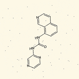 O=C(Nc1cnccn1)Nc1cccc2ccncc12